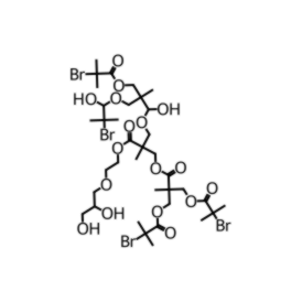 CC(C)(Br)C(=O)OCC(C)(COC(=O)C(C)(C)Br)C(=O)OCC(C)(COC(O)C(C)(COC(=O)C(C)(C)Br)COC(O)C(C)(C)Br)C(=O)OCCOCC(O)CO